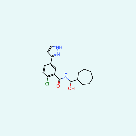 O=C(NC(O)C1CCCCCC1)c1cc(-c2cc[nH]n2)ccc1Cl